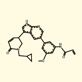 C=CC(=O)Nc1cc(OC)cc(-c2cnc3[nH]cc(C4C=CC(=O)N(CC5CC5)C4)c3c2)c1